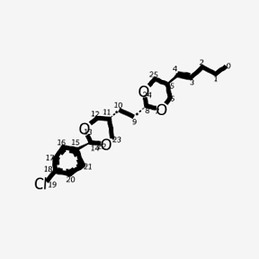 CCCC=C[C@H]1CO[C@H](CC[C@H]2CO[C@H](c3ccc(Cl)cc3)OC2)OC1